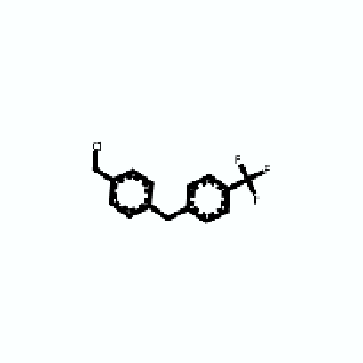 FC(F)(F)c1ccc(Cc2ccc(CCl)cc2)cc1